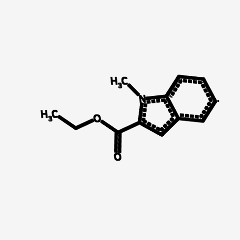 CCOC(=O)c1cc2c[c]ccc2n1C